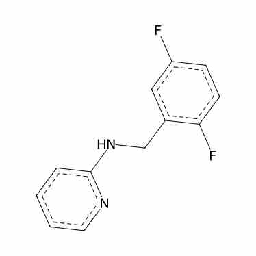 Fc1ccc(F)c(CNc2ccccn2)c1